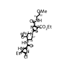 CCCOC1CN(c2nc(C(=O)NCCOC)c(C(=O)OCC)s2)CCC1NC(=O)c1nc(Cl)c(CC)[nH]1